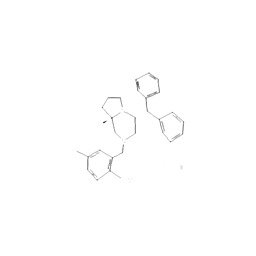 COc1ccc(Br)cc1CN1C[C@@H]2CCCN2[C@H](C(c2ccccc2)c2ccccc2)C1.Cl.Cl